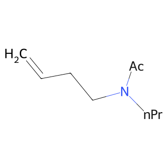 C=CCCN(CCC)C(C)=O